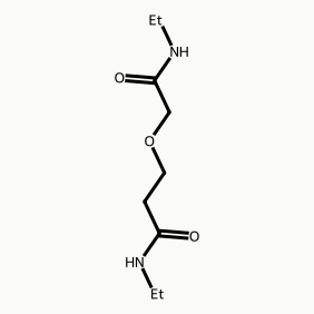 CCNC(=O)CCOCC(=O)NCC